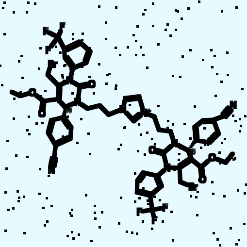 CCOC(=O)C1=C(CBr)N(c2cccc(C(F)(F)F)c2)C(=O)N(CCCn2cc[n+](CCCN3C(=O)N(c4cccc(C(F)(F)F)c4)C(CBr)=C(C(=O)OCC)[C@H]3c3ccc(C#N)cc3)c2)[C@@H]1c1ccc(C#N)cc1